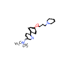 CN(C)[C@@H]1CCC(c2ccc(OCCCN3CCCCC3)cc2)=NC1